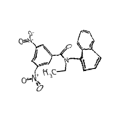 CCN(C(=O)c1cc([N+](=O)[O-])cc([N+](=O)[O-])c1)c1cccc2ccccc12